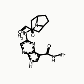 C=CC(=O)N1C2CCC1CC(Nc1cnc3[nH]cc(C(=O)NC(C)C)c3n1)C2